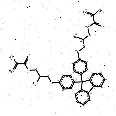 C=C(C)C(=O)OCC(O)COc1ccc(C2(c3ccc(OCC(O)COC(=O)C(=C)C)cc3)c3ccccc3-c3ccccc32)cc1